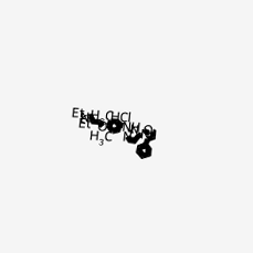 CCN(CC)CCCOc1c(C)cc(Nc2nccc(N3OCCC3c3ccccc3)n2)cc1C.Cl